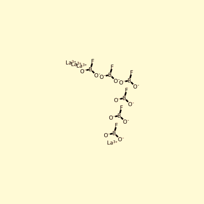 [La+3].[La+3].[La+3].[La+3].[O-]B([O-])F.[O-]B([O-])F.[O-]B([O-])F.[O-]B([O-])F.[O-]B([O-])F.[O-]B([O-])F